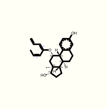 C=C/C=C(\C=C/C)O[C@H]1C[C@]2(C)[C@@H](O)CC[C@H]2[C@@H]2CCc3cc(O)ccc3[C@H]21